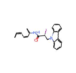 C=C(/C=C\C=C/C)NC(=O)[C@@H](I)Cn1c2ccccc2c2ccccc21